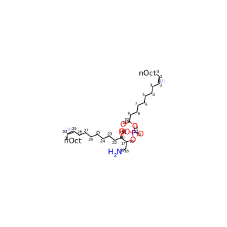 CCCCCCCC/C=C\CCCCCCCC(=O)OP(=O)(O)OC(CN)C(=O)CCCCCCC/C=C\CCCCCCCC